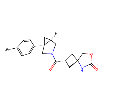 CC(C)c1ccc([C@]23C[C@H]2CN(C(=O)[C@H]2C[C@]4(COC(=O)N4)C2)C3)cc1